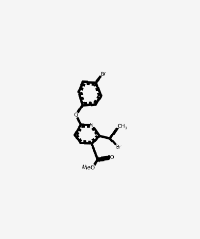 COC(=O)c1ccc(Oc2ccc(Br)cc2)nc1C(C)Br